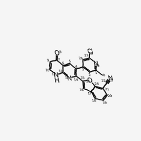 Cc1cc(-c2cc3c(=O)cc[nH]c3nc2-c2cc3cccc(C#N)c3o2)cc(Cl)n1